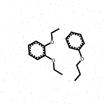 CCCOc1cc[c]cc1.CCOc1c[c]ccc1OCC